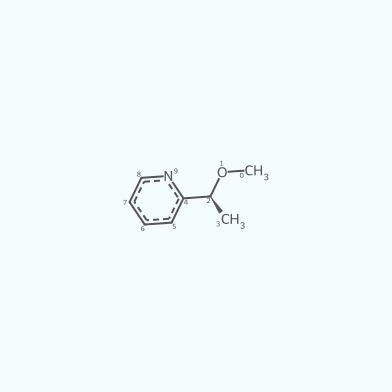 CO[C@@H](C)c1ccccn1